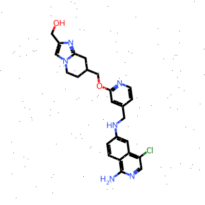 Nc1ncc(Cl)c2cc(NCc3ccnc(OCC4CCn5cc(CO)nc5C4)c3)ccc12